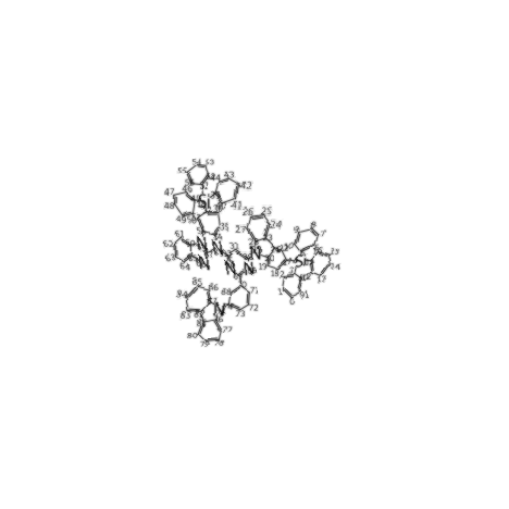 c1ccc([Si](c2ccccc2)(c2ccccc2)c2ccc3c(c2)c2ccccc2n3-c2cc(-n3c4ccc([Si](c5ccccc5)(c5ccccc5)c5ccccc5)cc4n4c5ccccc5nc34)nc(-c3cccc(-n4c5ccccc5c5ccccc54)c3)n2)cc1